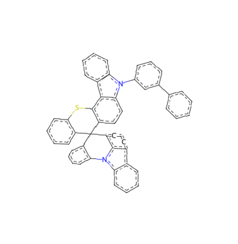 c1ccc(-c2cccc(-n3c4ccccc4c4c5c(ccc43)C3(c4ccccc4S5)c4ccccc4-n4c5ccccc5c5cccc3c54)c2)cc1